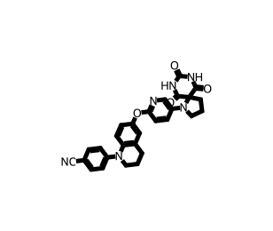 N#Cc1ccc(N2CCCc3cc(Oc4ccc(N5CCCC56C(=O)NC(=O)NC6=O)cn4)ccc32)cc1